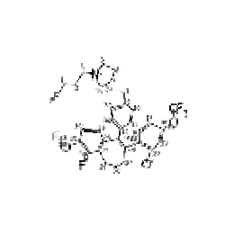 FCCCN1CC[C@H](Cc2ccc(C3=C(c4ccc(OC(F)(F)F)cc4Cl)CCCc4c3ccc(OF)c4F)cc2)C1